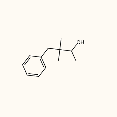 CC(O)C(C)(C)Cc1ccccc1